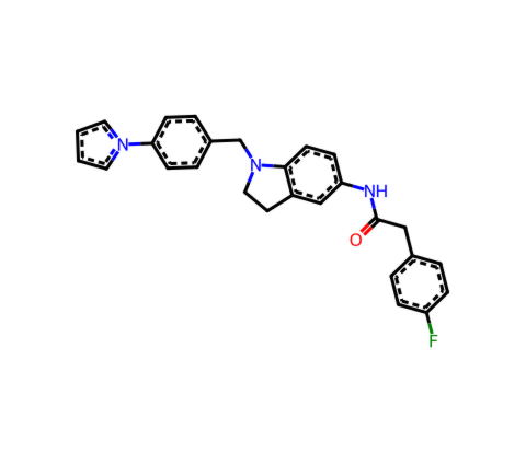 O=C(Cc1ccc(F)cc1)Nc1ccc2c(c1)CCN2Cc1ccc(-n2cccc2)cc1